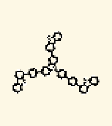 c1ccc2c(c1)sc1ccc(-c3ccc4c(c3)c3cc(-c5ccc(-c6cccc7c6sc6ccccc67)cc5)ccc3n4-c3ccc(-c4ccc(-c5cccc6c5sc5ccccc56)cc4)cc3)cc12